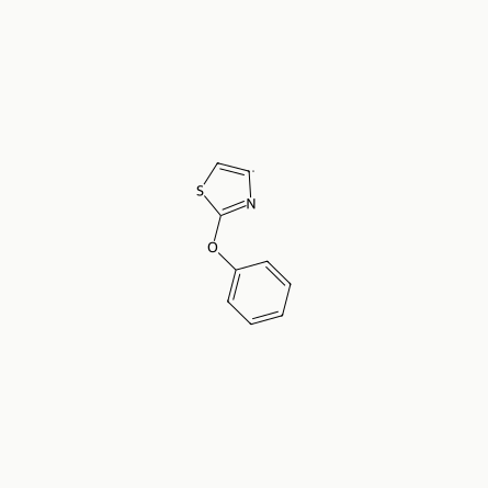 [c]1csc(Oc2ccccc2)n1